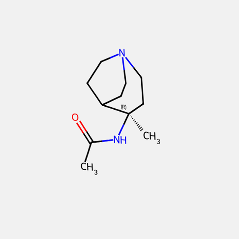 CC(=O)N[C@]1(C)CCN2CCC1CC2